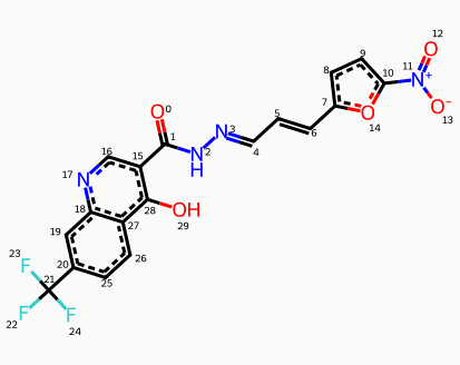 O=C(N/N=C/C=C/c1ccc([N+](=O)[O-])o1)c1cnc2cc(C(F)(F)F)ccc2c1O